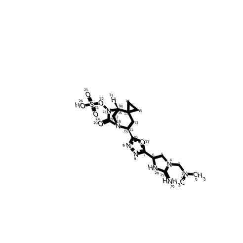 CN(C)CN1CC(c2nnc([C@@H]3CC4(CC4)[C@@H]4CN3C(=O)N4OS(=O)(=O)O)o2)NC1=N